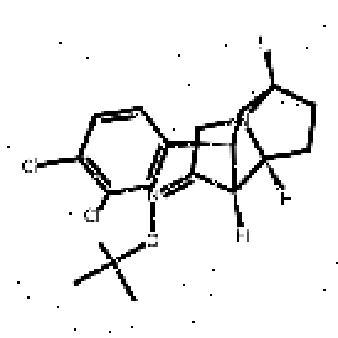 CC(C)(C)ON=C1CN2[C@H]3CC[C@@H]2[C@H]1[C@@H](c1ccc(Cl)c(Cl)c1)C3